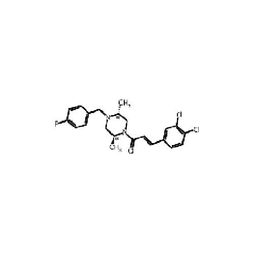 C[C@@H]1CN(C(=O)C=Cc2ccc(Cl)c(Cl)c2)[C@@H](C)CN1Cc1ccc(F)cc1